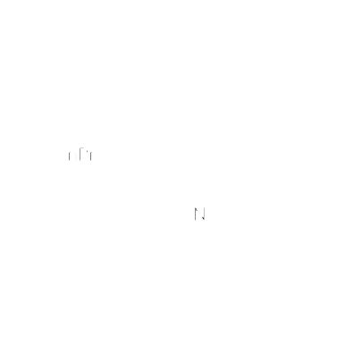 CCCc1cn(C)c2cccc(C)c12